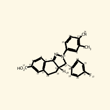 Cc1cc(N2N=C3c4ccc(C(=O)O)cc4CC[C@H]3[C@H]2c2ccc(F)cc2)ccc1C#N